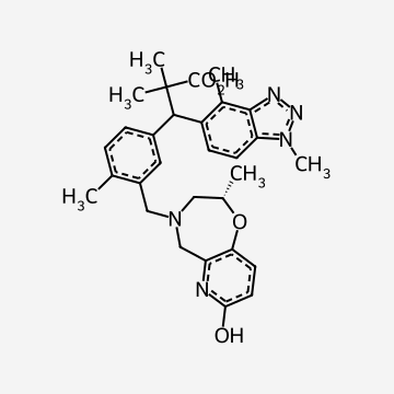 Cc1ccc(C(c2ccc3c(nnn3C)c2C)C(C)(C)C(=O)O)cc1CN1Cc2nc(O)ccc2O[C@@H](C)C1